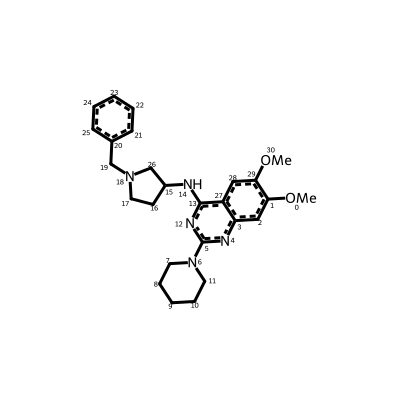 COc1cc2nc(N3CCCCC3)nc(NC3CCN(Cc4ccccc4)C3)c2cc1OC